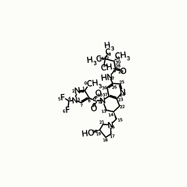 Cc1nn(C(F)F)cc1S(=O)(=O)N1C[C@H](CN2CC[C@@H](O)C2)Cc2ncc(NC(=O)[C@@H](C)C(C)(C)C)cc21